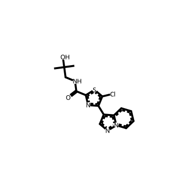 CC(C)(O)CNC(=O)c1nc(-c2cnn3ccccc23)c(Cl)s1